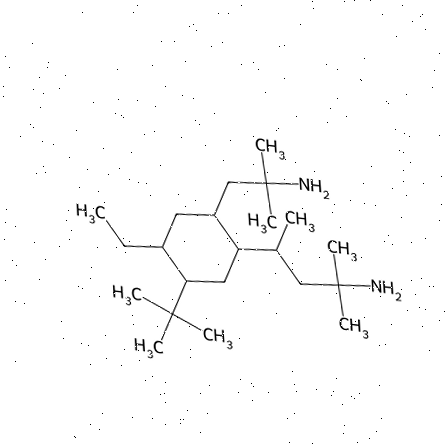 CCC1CC(CC(C)(C)N)C(C(C)CC(C)(C)N)CC1C(C)(C)C